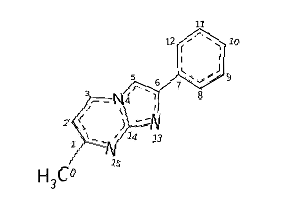 Cc1ccn2cc(-c3ccccc3)nc2n1